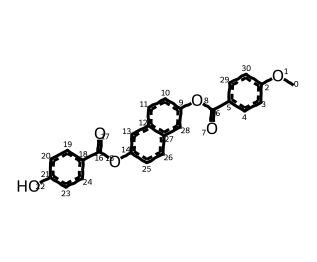 COc1ccc(C(=O)Oc2ccc3cc(OC(=O)c4ccc(O)cc4)ccc3c2)cc1